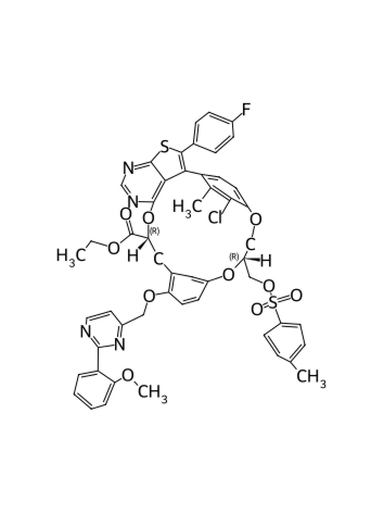 CCOC(=O)[C@H]1Cc2cc(ccc2OCc2ccnc(-c3ccccc3OC)n2)O[C@@H](COS(=O)(=O)c2ccc(C)cc2)COc2ccc(c(C)c2Cl)-c2c(-c3ccc(F)cc3)sc3ncnc(c23)O1